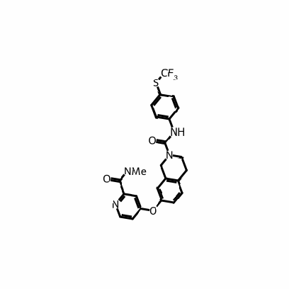 CNC(=O)c1cc(Oc2ccc3c(c2)CN(C(=O)Nc2ccc(SC(F)(F)F)cc2)CC3)ccn1